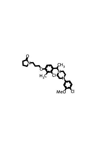 COc1cc(N2CCN(C(C)c3ccc(OCCCN4CCCC4=O)c(C)c3C)CC2)ccc1Cl